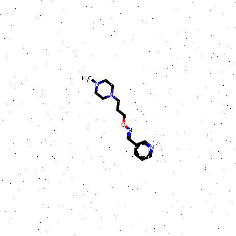 CN1CCN(CCCO/N=[C]/c2cccnc2)CC1